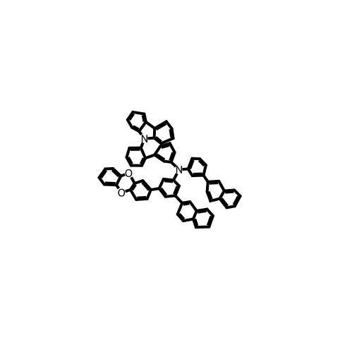 c1cc(-c2ccc3ccccc3c2)cc(N(c2cc(-c3ccc4c(c3)Oc3ccccc3O4)cc(-c3ccc4ccccc4c3)c2)c2cccc(-c3ccccc3-n3c4ccccc4c4ccccc43)c2)c1